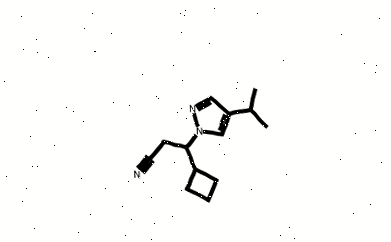 CC(C)c1cnn(C(CC#N)C2CCC2)c1